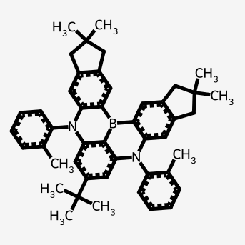 Cc1ccccc1N1c2cc3c(cc2B2c4cc5c(cc4N(c4ccccc4C)c4cc(C(C)(C)C)cc1c42)CC(C)(C)C5)CC(C)(C)C3